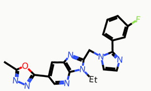 CCn1c(Cn2ccnc2-c2cccc(F)c2)nc2cc(-c3nnc(C)o3)cnc21